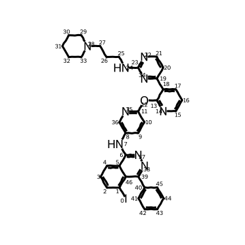 Ic1cccc2c(Nc3ccc(Oc4ncccc4-c4ccnc(NCCCN5CCCCC5)n4)nc3)nnc(-c3ccccc3)c12